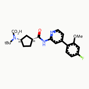 COc1cc(F)ccc1-c1ccnc(NC(=O)[C@@H]2CC[C@H](N(C(=O)O)C(C)(C)C)C2)c1